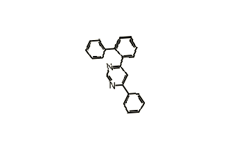 c1ccc(-c2cc(-c3ccccc3-c3ccccc3)ncn2)cc1